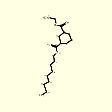 CCCCCCCCCCCOC(=O)C1CCCC(C(=O)OCCCCCCCCC(C)C)C1